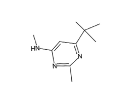 CNc1cc(C(C)(C)C)nc(C)n1